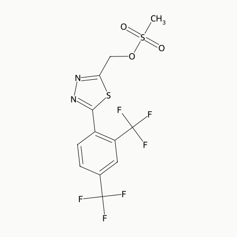 CS(=O)(=O)OCc1nnc(-c2ccc(C(F)(F)F)cc2C(F)(F)F)s1